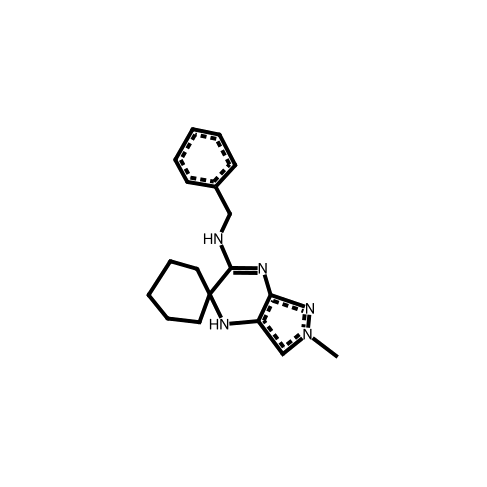 Cn1cc2c(n1)N=C(NCc1ccccc1)C1(CCCCC1)N2